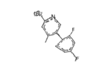 Cc1cc(C(C)(C)C)ncc1-c1ccc(F)cc1F